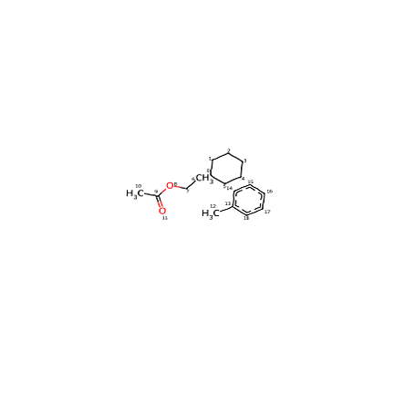 C1CCCCC1.CCOC(C)=O.Cc1ccccc1